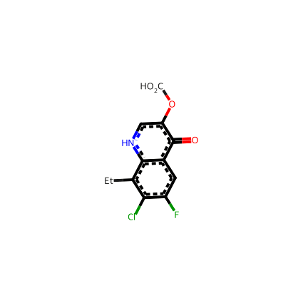 CCc1c(Cl)c(F)cc2c(=O)c(OC(=O)O)c[nH]c12